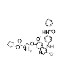 COc1cc2c(Nc3ccc(NC(=O)c4ccccc4)cc3)c(C3CC3)cnc2cc1OCC[C@H](N)C(=O)OC1CCCC1